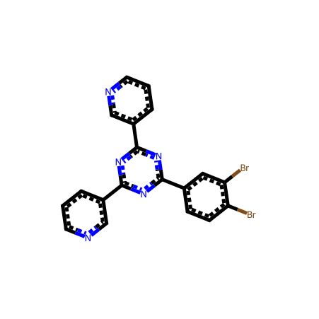 Brc1ccc(-c2nc(-c3cccnc3)nc(-c3cccnc3)n2)cc1Br